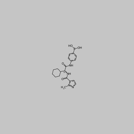 Cn1nccc1C(=O)N[C@H](C(=O)Nc1ccc(B(O)O)cc1)C1CCCCC1